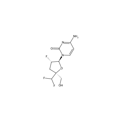 Nc1ccn([C@H]2O[C@@](CO)(C(F)F)C[C@@H]2F)c(=O)n1